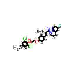 Cc1cc(Cl)c(OCCOc2ccc(CC(C=O)C(N)N3CCCc4cc(F)ccc43)cc2)c(Cl)c1